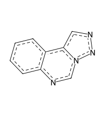 c1ccc2c(c1)ncn1nncc21